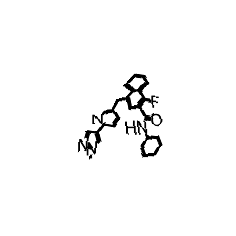 Cn1cc(-c2ccc(Cc3cc(C(=O)NC4CCCCC4)c(F)c4ccccc34)cn2)cn1